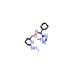 Cn1ncnc1C(=NOCc1cccc(N)n1)c1ccccc1